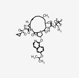 CC(C)Oc1ccc2c(O[C@@H]3C[C@H]4C(=O)N[C@]5(C(=O)NS(=O)(=O)C6CC6)C[C@H]5/C=C\CC[C@H](C)C[C@@H](C)[C@H](NC(=O)OC(C)(C)C(F)(F)F)C(=O)N4C3)nccc2c1